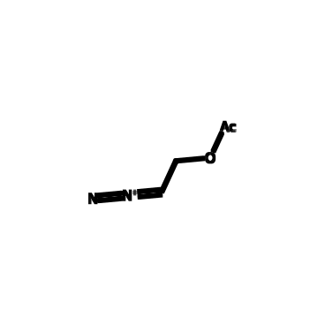 CC(=O)OCC=[N+]=[N-]